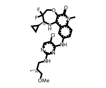 COC[C@H](C)CNc1ncc(Cl)c(Nc2ccc3c(c2)c2c(c(=O)n3C)OCC(F)(F)[C@H](C3CC3)N2)n1